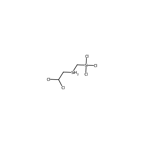 ClC(Cl)C[SiH2]C[Si](Cl)(Cl)Cl